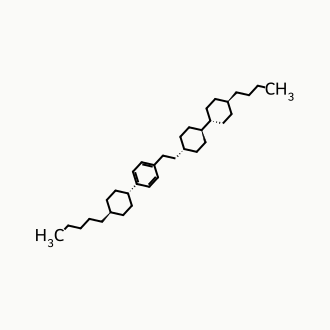 CCCCC[C@H]1CC[C@H](c2ccc(CC[C@H]3CC[C@H]([C@H]4CC[C@H](CCCC)CC4)CC3)cc2)CC1